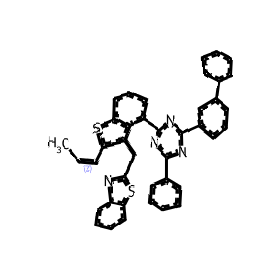 C/C=C\c1sc2cccc(-c3nc(-c4ccccc4)nc(-c4cccc(-c5ccccc5)c4)n3)c2c1Cc1nc2ccccc2s1